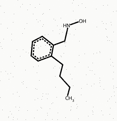 CCCCc1ccccc1CNO